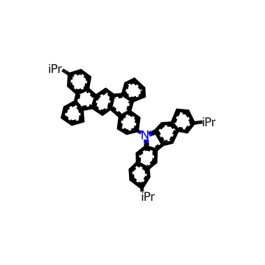 CC(C)c1ccc2cc3c(cc2c1)c1cc2cc(C(C)C)ccc2cc1n3-c1ccc2c(c1)c1ccccc1c1cc3c4ccc(C(C)C)cc4c4ccccc4c3cc21